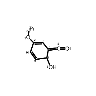 CC(C)OC1=CC(=C=O)C(O)C=C1